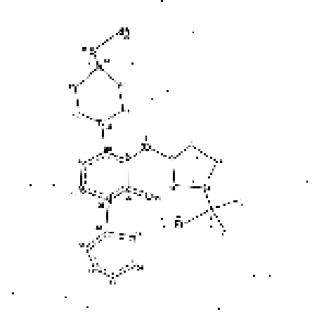 CCC(C)(C)C1CCC(Oc2c(N3CCN(SC(C)C)CC3)cnn(-c3ccccc3)c2=O)C1